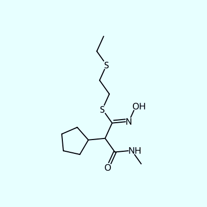 CCSCCSC(=NO)C(C(=O)NC)C1CCCC1